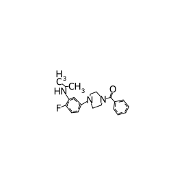 CC(C)Nc1cc(N2CCN(C(=O)c3ccccc3)CC2)ccc1F